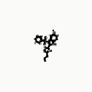 CCCc1nc(-c2[nH]c3ccc(Cl)cc3c2S(=O)(=O)c2ccccc2)no1